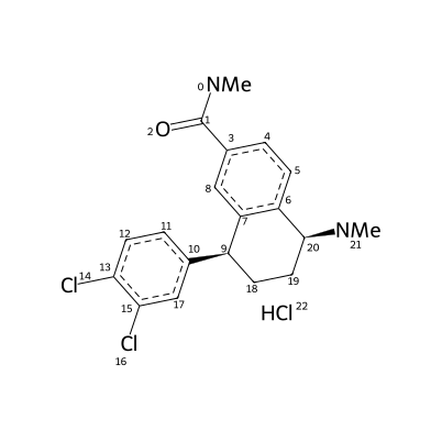 CNC(=O)c1ccc2c(c1)[C@H](c1ccc(Cl)c(Cl)c1)CC[C@@H]2NC.Cl